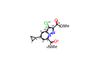 CNC(=O)c1cc(C2CC2)cc2c(Cl)c(C(=O)OC)nn12